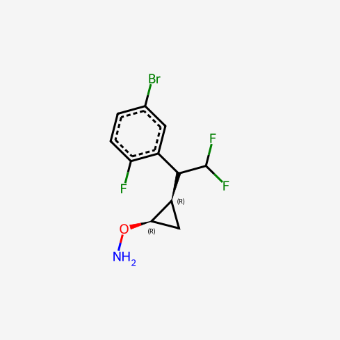 NO[C@@H]1C[C@@H]1C(c1cc(Br)ccc1F)C(F)F